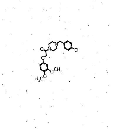 COc1ccc(OCC(=O)N2CCN(Cc3ccc(Cl)cc3)CC2)cc1OC